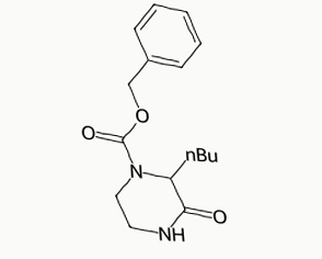 CCCCC1C(=O)NCCN1C(=O)OCc1ccccc1